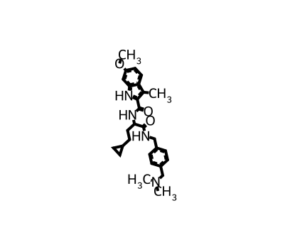 COc1ccc2c(C)c(C(=O)NC(CCC3CC3)C(=O)NCc3ccc(CN(C)C)cc3)[nH]c2c1